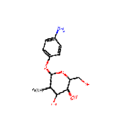 CC(=O)NC1C(Oc2ccc(N)cc2)OC(CO)C(O)C1O